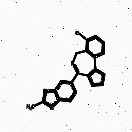 Cc1nc2ccc(C3=NCc4c(Cl)cccc4-n4cccc43)cc2o1